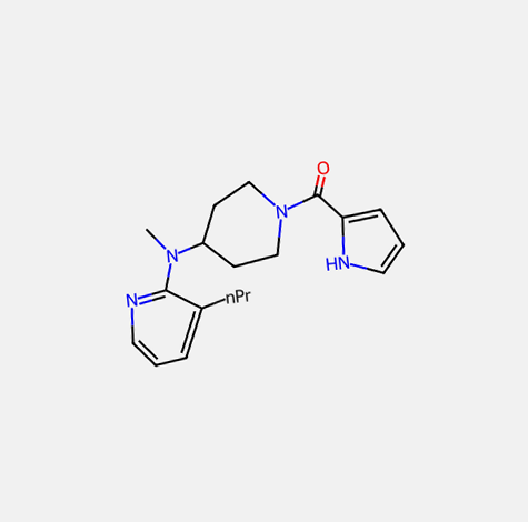 CCCc1cccnc1N(C)C1CCN(C(=O)c2ccc[nH]2)CC1